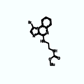 CC(C)(C)OC(=O)NCCNc1nc2ccccc2n2c(Br)cnc12